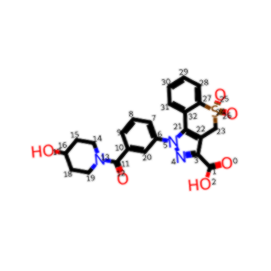 O=C(O)c1nn(-c2cccc(C(=O)N3CCC(O)CC3)c2)c2c1CS(=O)(=O)c1ccccc1-2